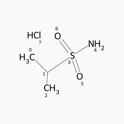 CC(C)S(N)(=O)=O.Cl